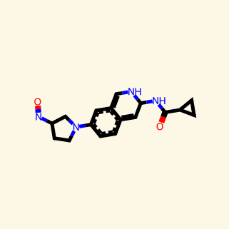 O=NC1CCN(c2ccc3c(c2)=CNC(NC(=O)C2CC2)C=3)C1